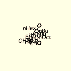 CCCCCCCCc1c(CCCC)cc([C](=C(CC)C(C)=Nc2cc(CCCC)c(-c3ccccc3)c(CCCCCC)c2)[Pd]([Cl])([NH]C=O)[NH]C=O)cc1-c1ccccc1